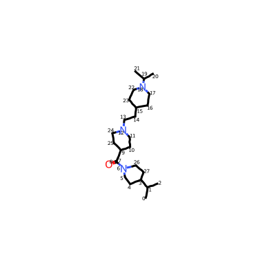 CC(C)C1CCN(C(=O)C2CCN(CCC3CCN(C(C)C)CC3)CC2)CC1